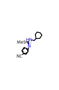 CS/C(=N\c1ccc(C#N)cc1)NCC1CCCCC1